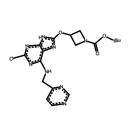 CC(C)(C)OC(=O)N1CC(Oc2nc3c(NCc4ccncn4)nc(Cl)nc3[nH]2)C1